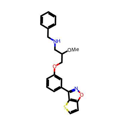 COC(CNCc1ccccc1)COc1cccc(-c2noc3ccsc23)c1